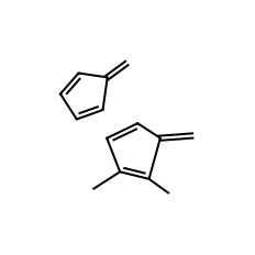 C=C1C=CC(C)=C1C.C=C1C=CC=C1